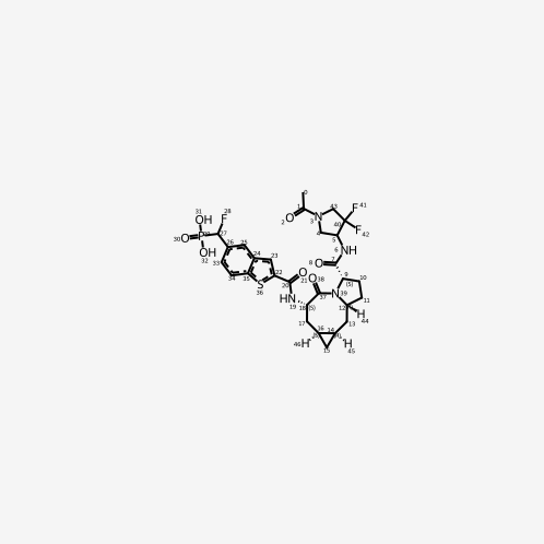 CC(=O)N1CC(NC(=O)[C@@H]2CC[C@@H]3C[C@H]4C[C@H]4C[C@H](NC(=O)c4cc5cc(C(F)P(=O)(O)O)ccc5s4)C(=O)N32)C(F)(F)C1